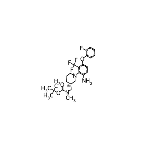 CN(C[C@@H]1CCCN(c2c(N)ccc(Oc3ccccc3F)c2C(F)(F)F)C1)C(=O)OC(C)(C)C